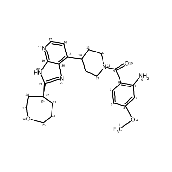 Nc1cc(OC(F)(F)F)ccc1C(=O)N1CCC(c2ccnc3[nH]c([C@H]4CCCOCC4)nc23)CC1